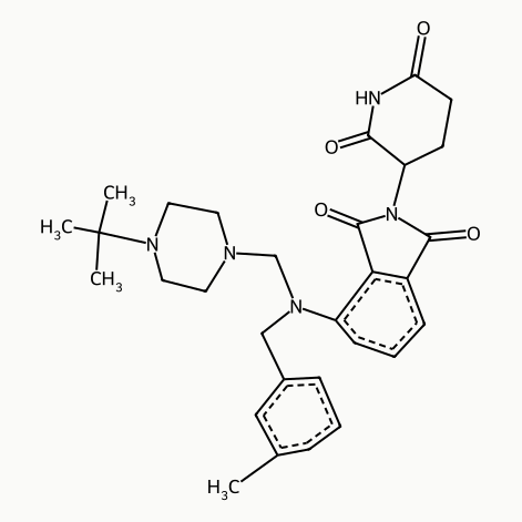 Cc1cccc(CN(CN2CCN(C(C)(C)C)CC2)c2cccc3c2C(=O)N(C2CCC(=O)NC2=O)C3=O)c1